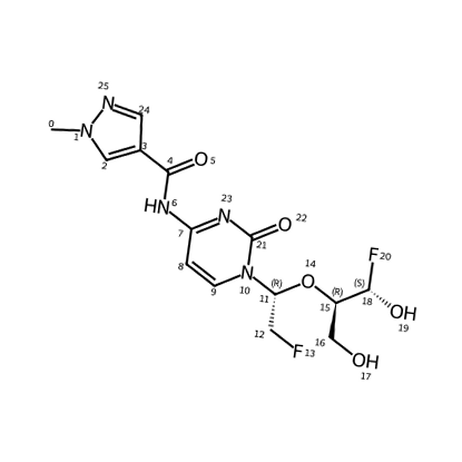 Cn1cc(C(=O)Nc2ccn([C@@H](CF)O[C@H](CO)[C@@H](O)F)c(=O)n2)cn1